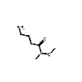 CON(C)C(=O)CCCN